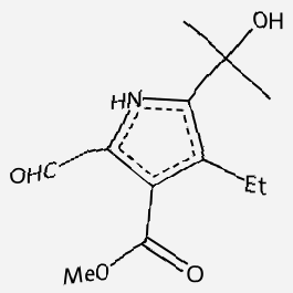 CCc1c(C(C)(C)O)[nH]c(C=O)c1C(=O)OC